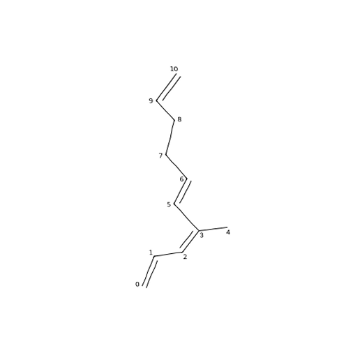 C=CC=C(C)C=CCCC=C